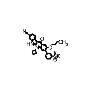 CCCCOc1cc2c(=O)c3c4ccc(C#N)cc4[nH]c3n(C3CCC3)c2cc1-c1cccc(S(=O)(=O)F)c1